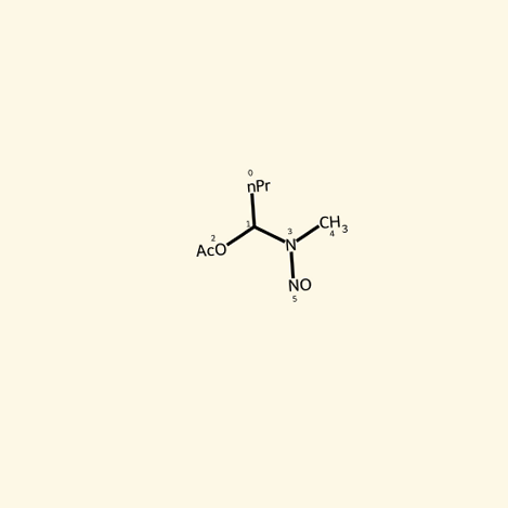 CCCC(OC(C)=O)N(C)N=O